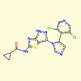 O=C(Nc1nc2[nH]nc(-n3cncc3-c3c(Cl)cncc3Cl)c2s1)C1CC1